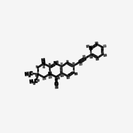 CC1(C)CNc2nc3cc(C#Cc4ccccn4)ccc3c(=O)n2C1